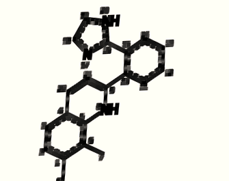 Cc1ccc2c(c1C)NC(c1ccccc1-c1ncc[nH]1)=C=C2